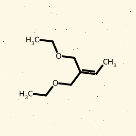 CC=C(COCC)COCC